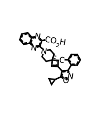 O=C(O)c1nc2ccccc2nc1N1CCC2(C=C(c3c(-c4ccccc4C(F)(F)F)noc3C3CC3)C2)CC1